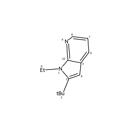 CCn1c(C(C)(C)C)cc2cccnc21